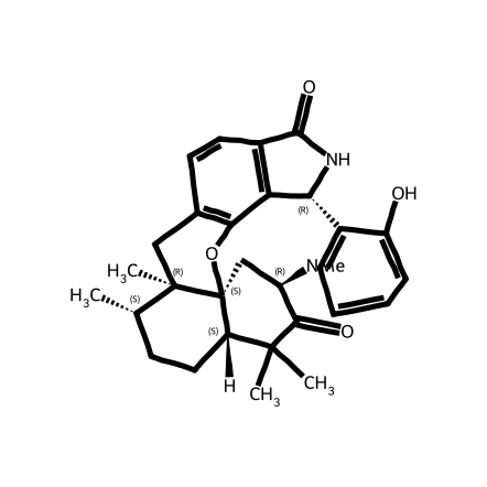 CN[C@@H]1C[C@@]23Oc4c(ccc5c4[C@@H](c4ccccc4O)NC5=O)C[C@]2(C)[C@@H](C)CC[C@H]3C(C)(C)C1=O